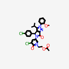 COc1ccccc1-n1nc2c(c1C(C)C)C(c1ccc(Cl)cc1)N(c1cc(Cl)c(=O)n(CCOC(C)=O)c1)C2=O